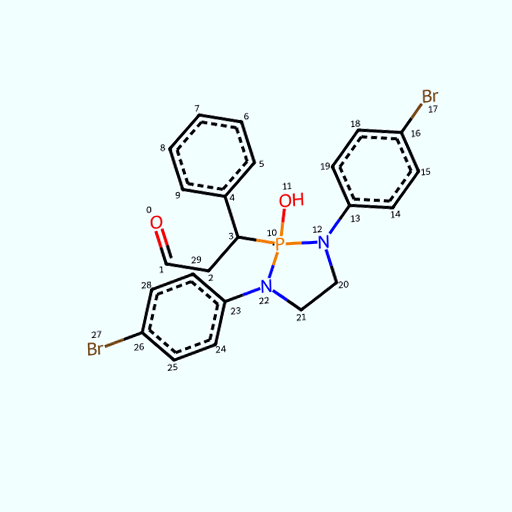 O=CCC(c1ccccc1)[P]1(O)N(c2ccc(Br)cc2)CCN1c1ccc(Br)cc1